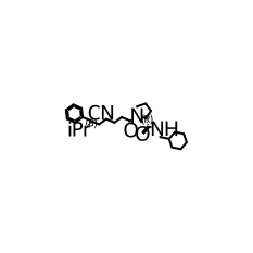 CC(C)[C@@](C#N)(CCCCC(=O)N1CCC[C@@H]1C(=O)NCC1CCCCC1)c1ccccc1